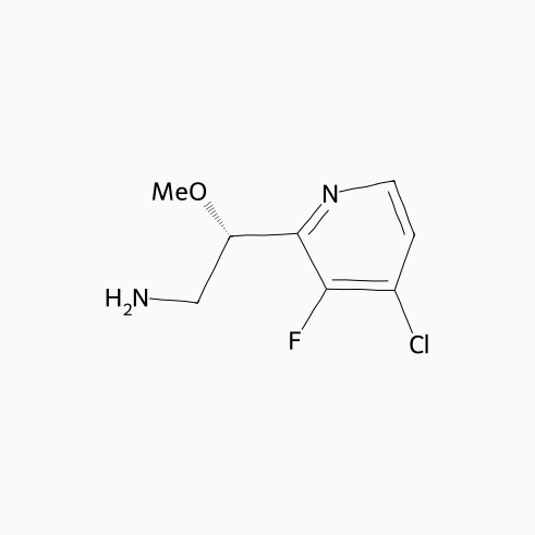 CO[C@@H](CN)c1nccc(Cl)c1F